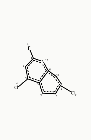 Fc1cc(Cl)c2ccc(Cl)cc2n1